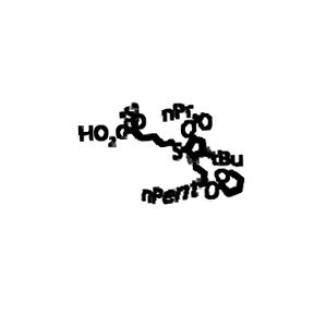 CCCCC[C@@H](CC[C@@H]1C(SCCCCC(O[SiH](C)C)C(=O)O)=C(OC(=O)CCC)C[C@H]1C(C)(C)C)OC1CCCCO1